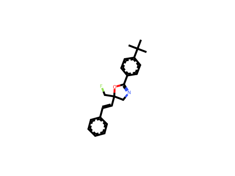 CC(C)(C)c1ccc(C2=NCC(/C=C/c3ccccc3)(CF)O2)cc1